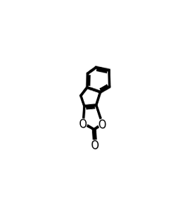 O=c1oc2c(o1)-c1ccccc1C2